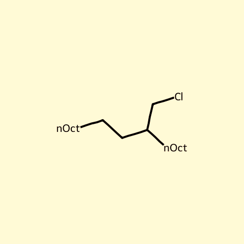 CCCCCCCCCCC(CCl)CCCCCCCC